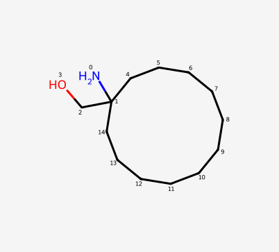 NC1(CO)CCCCCCCCCCC1